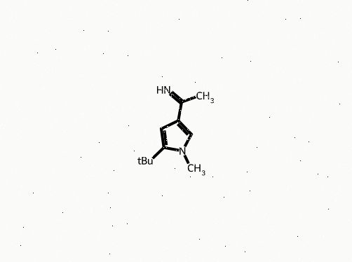 CC(=N)c1cc(C(C)(C)C)n(C)c1